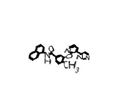 Cc1ccc(C(=O)Nc2cccc3ccccc23)cc1Oc1ncccc1-c1ccncn1